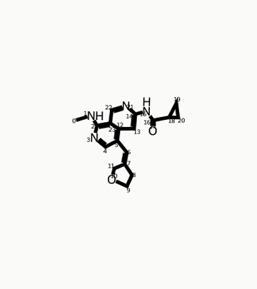 CNc1ncc(C=C2CCOC2)c2cc(NC(=O)C3CC3)ncc12